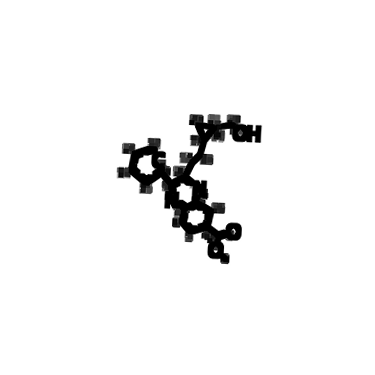 COC(=O)c1ccc2nc(-c3ccccc3)c(CCC3C[C@H]3CO)nc2c1